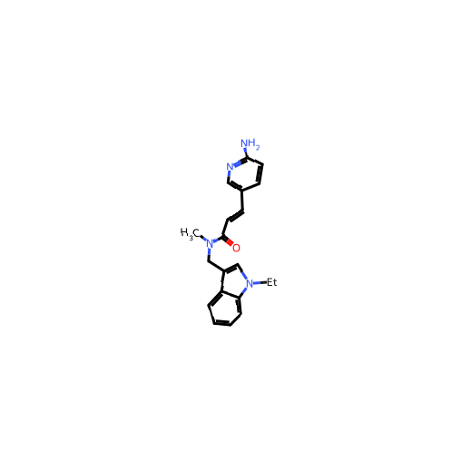 CCn1cc(CN(C)C(=O)C=Cc2ccc(N)nc2)c2ccccc21